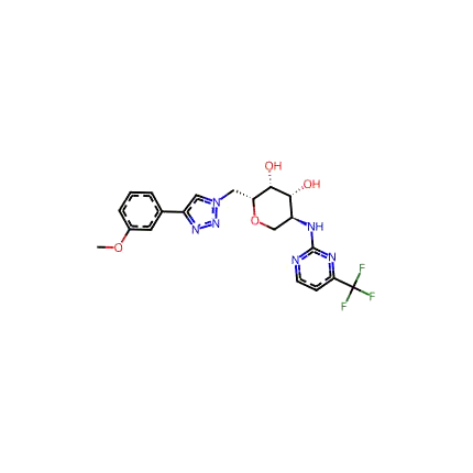 COc1cccc(-c2cn(C[C@H]3OC[C@H](Nc4nccc(C(F)(F)F)n4)[C@@H](O)[C@H]3O)nn2)c1